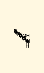 CN1CCC2(C1)CN(c1ccc(-c3ccc(-c4cn[nH]c4)cc3O)nn1)C2